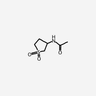 CC(=O)NC1CCS(=O)(=O)C1